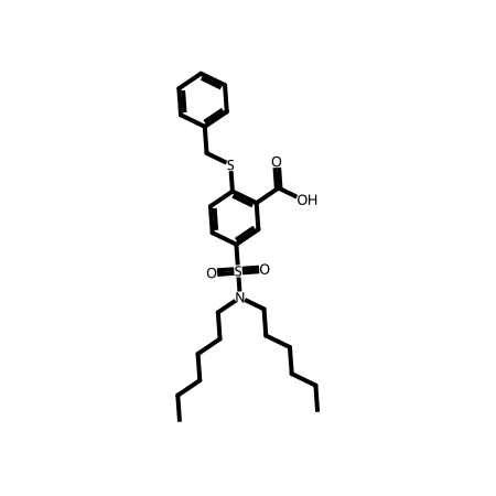 CCCCCCN(CCCCCC)S(=O)(=O)c1ccc(SCc2ccccc2)c(C(=O)O)c1